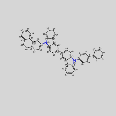 c1ccc(-c2ccc(-n3c4ccccc4c4cc(-c5ccc6c(c5)c5ccccc5n6-c5ccc6c(c5)-c5ccccc5CC6)ccc43)cc2)cc1